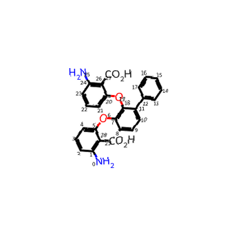 Nc1cccc(Oc2cccc(-c3ccccc3)c2Oc2cccc(N)c2C(=O)O)c1C(=O)O